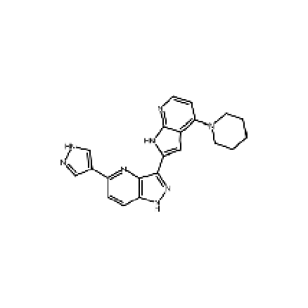 c1cc(N2CCCCC2)c2cc(-c3n[nH]c4ccc(-c5cn[nH]c5)nc34)[nH]c2n1